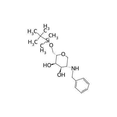 CC(C)(C)[Si](C)(C)OC[C@@H]1OC[C@H](NCc2ccccc2)[C@@H](O)[C@H]1O